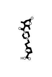 Cc1cc(=O)oc(C)c1C(=O)N1CCN(CCc2ccc(C(=O)O)s2)CC1